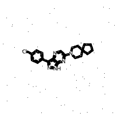 Clc1ccc(-c2n[nH]c3nc(N4CCC5(CCCC5)CC4)cnc23)cc1